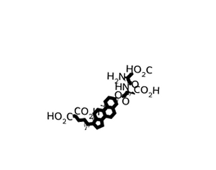 C[C@H](CCC(C(=O)O)C(=O)O)C1CCC2C3CCC4C[C@H](OC(=O)[C@H](CC(=O)O)NC(=O)[C@@H](N)CC(=O)O)CC[C@]4(C)C3CC[C@@]21C